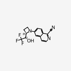 N#Cc1nccc2cc(N3CC[C@@H]3[C@H](O)C(F)(F)F)ccc12